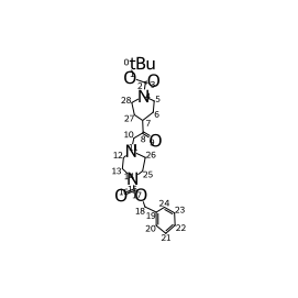 CC(C)(C)OC(=O)N1CCC(C(=O)CN2CCN(C(=O)OCc3ccccc3)CC2)CC1